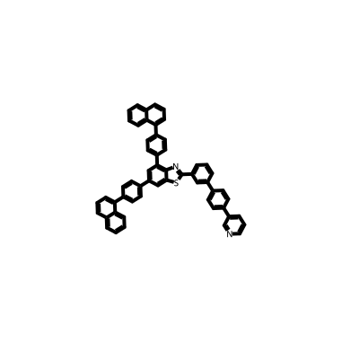 c1cncc(-c2ccc(-c3cccc(-c4nc5c(-c6ccc(-c7cccc8ccccc78)cc6)cc(-c6ccc(-c7cccc8ccccc78)cc6)cc5s4)c3)cc2)c1